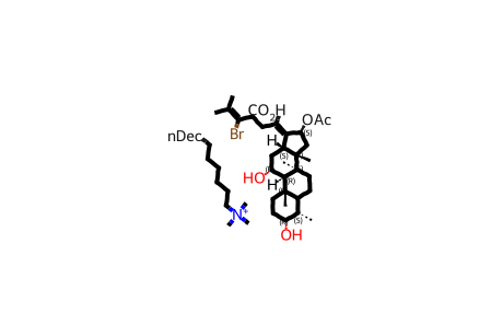 CC(=O)O[C@H]1C[C@@]2(C)[C@H](C[C@@H](O)[C@@H]3[C@@]4(C)CC[C@@H](O)[C@@H](C)C4CC[C@@]32C)C1=C(CCC(Br)=C(C)C)C(=O)O.CCCCCCCCCCCCCCCC[N+](C)(C)C